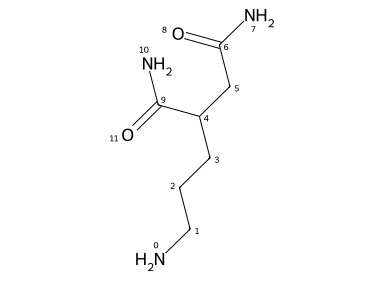 NCCCC(CC(N)=O)C(N)=O